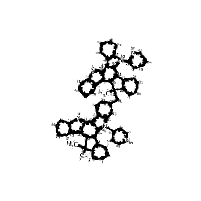 CC1(C)c2ccccc2-c2c1c1c3ccccc3sc1c1c3ccc(CC4(C)c5ccccc5-c5c4c4c6ccccc6sc4c4c6ccccc6n(-c6ccccn6)c54)cc3n(-c3ccncc3)c21